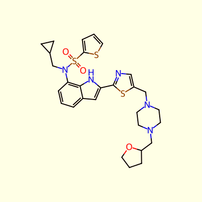 O=S(=O)(c1cccs1)N(CC1CC1)c1cccc2cc(-c3ncc(CN4CCN(CC5CCCO5)CC4)s3)[nH]c12